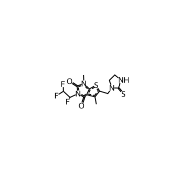 Cc1c(CN2CCNC2=S)sc2c1c(=O)n(C(F)C(F)F)c(=O)n2C